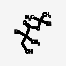 CCC(C)(C)OC(=O)C(C)(CC)CO